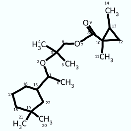 CC(OC(C)(C)COC(=O)C1(C)CC1C)C1CCCC(C)(C)C1